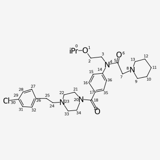 CC(C)OCCN(C(=O)CN1CCCCC1)c1ccc(C(=O)N2CCN(CCc3ccc(Cl)cc3)CC2)cc1